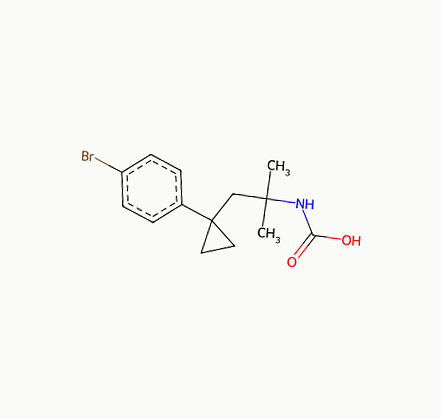 CC(C)(CC1(c2ccc(Br)cc2)CC1)NC(=O)O